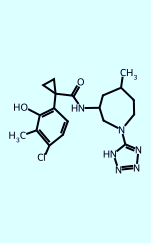 Cc1c(Cl)ccc(C2(C(=O)NC3CC(C)CCN(c4nnn[nH]4)C3)CC2)c1O